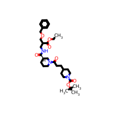 CCOC(=O)C(CNC(=O)[C@@H]1CCCN(C(=O)CCC2CCN(C(=O)OC(C)(C)C)CC2)C1)COCc1ccccc1